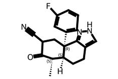 C[C@@H]1C(=O)C(C#N)C[C@@]2(c3cccc(F)c3)c3n[nH]cc3CC[C@@H]12